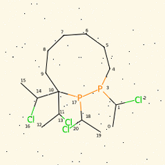 CC(Cl)P1CCCCCCC(C(C)Cl)(C(C)Cl)P1C(C)Cl